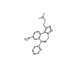 CN(C)CCc1nnc2n1-c1ccc([N+](=O)[O-])cc1C(c1ccccn1)=NC2